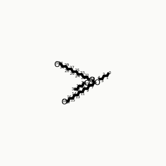 CCCCCOC(C=CCCCCCCCCC=O)OC(C=CCCCCCCCCC=O)OCCCCC